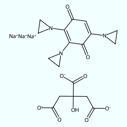 O=C([O-])CC(O)(CC(=O)[O-])C(=O)[O-].O=C1C=C(N2CC2)C(=O)C(N2CC2)=C1N1CC1.[Na+].[Na+].[Na+]